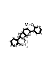 COc1ncccc1-c1ccc2nc(-c3cccnc3N)n(Cl)c2n1